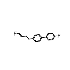 FC=CCCc1ccc(-c2ccc(F)cc2)cc1